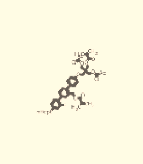 C=C(C)C(=O)OCc1cc(-c2ccc(CCCCCCC)cc2F)ccc1-c1ccc(OCC(COC(=O)C(=C)C)(COC(=O)C(C)=O)COC(=O)C(C)=O)cc1